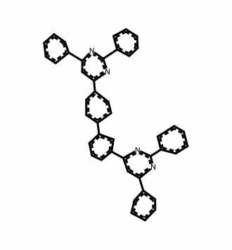 c1ccc(-c2cc(-c3ccc(-c4cccc(-c5cc(-c6ccccc6)nc(-c6ccccc6)n5)c4)cc3)nc(-c3ccccc3)n2)cc1